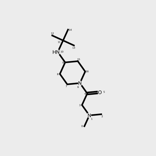 CN(C)CC(=O)N1CCC(NC(C)(C)C)CC1